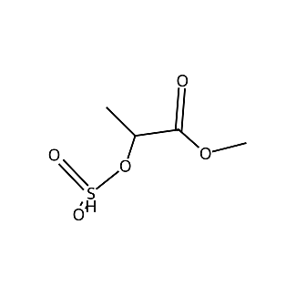 COC(=O)C(C)O[SH](=O)=O